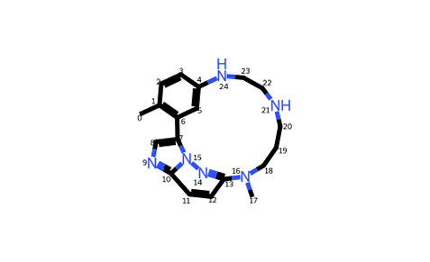 Cc1ccc2cc1-c1cnc3ccc(nn13)N(C)CCCNCCN2